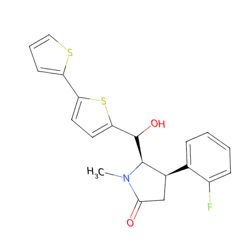 CN1C(=O)C[C@H](c2ccccc2F)[C@@H]1C(O)c1ccc(-c2cccs2)s1